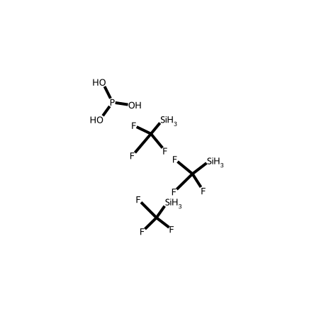 FC(F)(F)[SiH3].FC(F)(F)[SiH3].FC(F)(F)[SiH3].OP(O)O